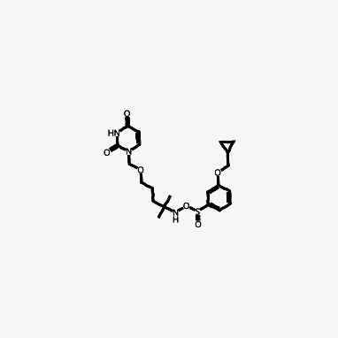 CC(C)(CCCOCn1ccc(=O)[nH]c1=O)NOS(=O)c1cccc(OCC2CC2)c1